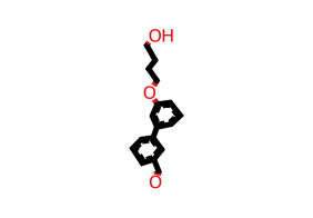 O=Cc1cccc(-c2cccc(OCCCCO)c2)c1